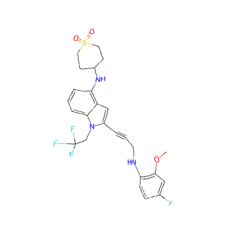 COc1cc(F)ccc1NCC#Cc1cc2c(NC3CCS(=O)(=O)CC3)cccc2n1CC(F)(F)F